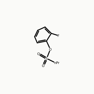 CCCS(=O)(=O)Oc1ccccc1F